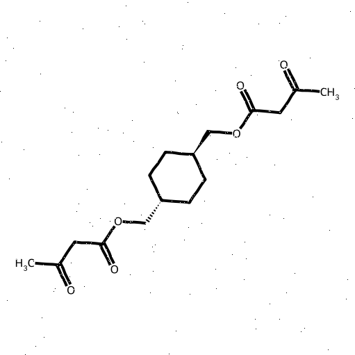 CC(=O)CC(=O)OC[C@H]1CC[C@H](COC(=O)CC(C)=O)CC1